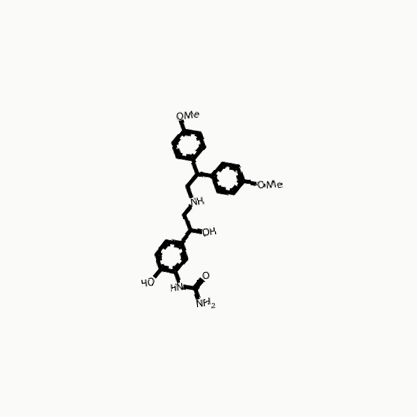 COc1ccc(C(CNCC(O)c2ccc(O)c(NC(N)=O)c2)c2ccc(OC)cc2)cc1